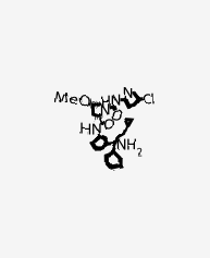 CO[C@@H]1C[C@H](C(=O)Nc2cccc(C(N)(CCC3CC3)c3ccccc3)c2)N(C(=O)Nc2ccc(Cl)cn2)C1